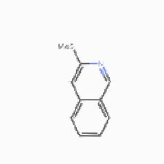 CSc1[c]c2ccccc2cn1